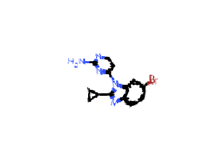 Nc1nccc(-n2c(C3CC3)nc3ccc(Br)cc32)n1